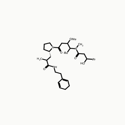 CCC(C)C(C(CC(=O)N1CCC[C@H]1CC(C)C(=O)NCCC1=CCCC=C1)OC)N(C)C(=O)CC(O)C(C)C